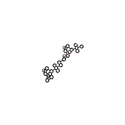 c1ccc(-c2c3ccccc3c(-c3cc(-c4cccc5oc6ccc(-c7cccc8c7oc7cc(-c9cccc%10c(-c%11c%12ccccc%12c(-c%12cc(-c%13cccc%14oc%15ccc(-n%16c%17ccccc%17c%17ccccc%17%16)cc%15c%13%14)c%13ccccc%13c%12)c%12ccccc%11%12)cccc9%10)ccc78)cc6c45)c4ccccc4c3)c3ccccc23)cc1